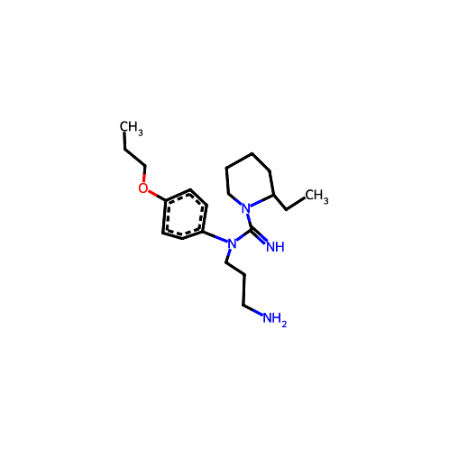 CCCOc1ccc(N(CCCN)C(=N)N2CCCCC2CC)cc1